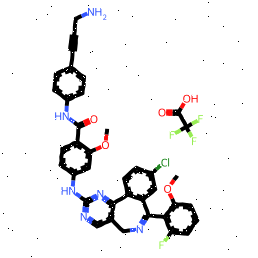 COc1cc(Nc2ncc3c(n2)-c2ccc(Cl)cc2C(c2c(F)cccc2OC)=NC3)ccc1C(=O)Nc1ccc(C#CCN)cc1.O=C(O)C(F)(F)F